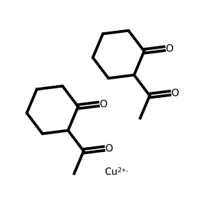 CC(=O)C1CCCCC1=O.CC(=O)C1CCCCC1=O.[Cu+2]